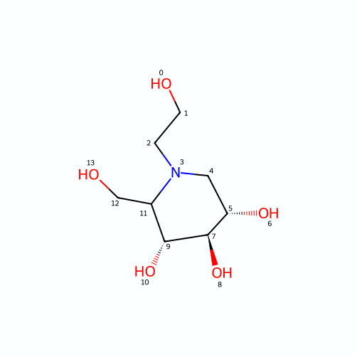 OCCN1C[C@H](O)[C@@H](O)[C@H](O)C1CO